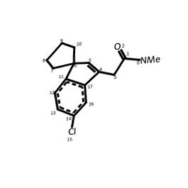 CNC(=O)CC1=CC2(CCCC2)c2ccc(Cl)cc21